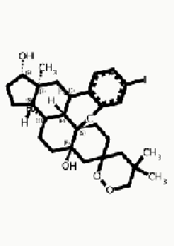 CC1(C)COOC2(CC[C@@]34Cc5cc(I)ccc5[C@H]5C[C@]6(C)[C@@H](O)CC[C@H]6[C@H](CC[C@@]3(O)C2)[C@H]54)C1